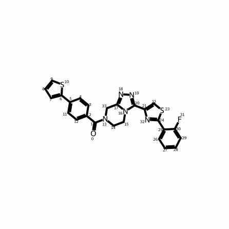 O=C(c1ccc(-c2cccs2)cc1)N1CCn2c(nnc2-c2csc(-c3ccccc3F)n2)C1